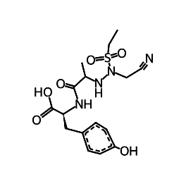 CCS(=O)(=O)N(CC#N)NC(C)C(=O)N[C@@H](Cc1ccc(O)cc1)C(=O)O